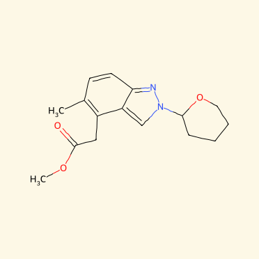 COC(=O)Cc1c(C)ccc2nn(C3CCCCO3)cc12